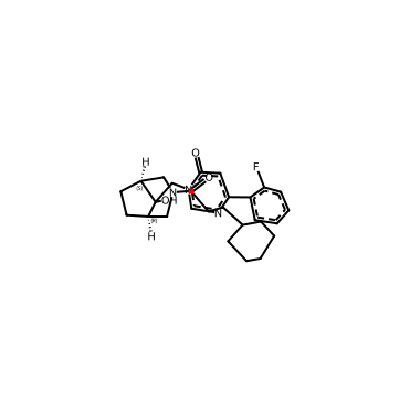 O=C(CCC1CCCCC1)N1C[C@H]2CC[C@@H](C1)C2(O)Cn1cnc(-c2ccccc2F)cc1=O